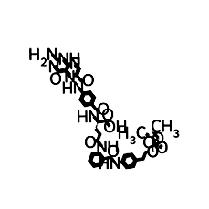 CCOP(=O)(OCC)OCCc1ccc(NC(=O)c2ccccc2NC(=O)CC[C@H](NC(=O)c2ccc(NC(=O)c3cnc4[nH]c(N)nc(=O)c4n3)cc2)C(=O)O)cc1